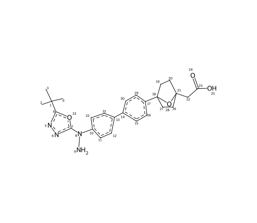 CC(C)(C)c1nnc(N(N)c2ccc(-c3ccc(C45CCC(CC(=O)O)(CC4)O5)cc3)cc2)o1